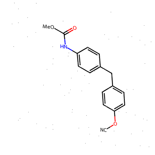 COC(=O)Nc1ccc(Cc2ccc(OC#N)cc2)cc1